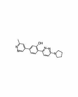 Cc1cc(-c2ccc(-c3ccc(N4CCCC4)nn3)c(O)c2)cnn1